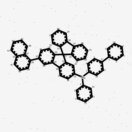 c1ccc(-c2ccc(N(c3ccccc3)c3ccc4c(c3)C3(c5ccccc5-c5ccccc53)c3ccc(-c5cccc6ccccc56)cc3-4)cc2)cc1